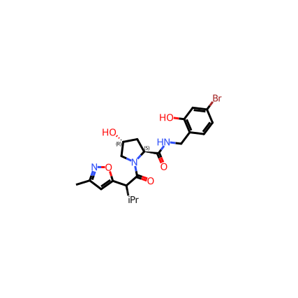 Cc1cc(C(C(=O)N2C[C@H](O)C[C@H]2C(=O)NCc2ccc(Br)cc2O)C(C)C)on1